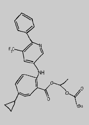 CC(OC(=O)c1cc(C2CC2)ccc1Nc1cnc(-c2ccccc2)c(C(F)(F)F)c1)OC(=O)C(C)(C)C